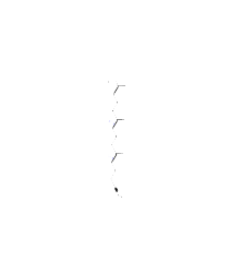 CC(C)=CCC/C(C)=C/CC/C(C)=C/CCC#N